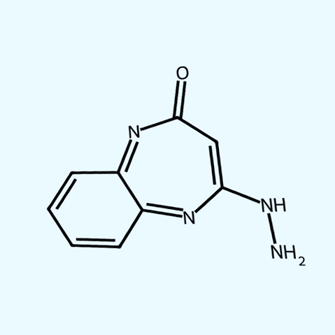 NNc1cc(=O)nc2ccccc2n1